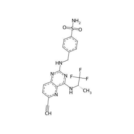 C#Cc1ccc2nc(NCc3ccc(S(N)(=O)=O)cc3)nc(N[C@@H](C)C(F)(F)F)c2n1